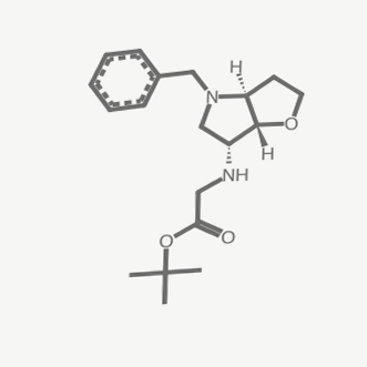 CC(C)(C)OC(=O)CN[C@@H]1CN(Cc2ccccc2)[C@H]2CCO[C@H]12